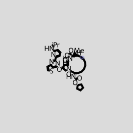 COC(=O)[C@@]12C[C@H]1/C=C\CCCCC[C@H](NC(=O)OC1CCCC1)C(=O)N1C[C@H](Oc3nc(-c4cccc(NC(C)C)n4)nc4ccsc34)C[C@H]1C(=O)N2